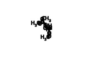 COc1ccc(-c2cncc(C(=O)NN=Cc3cc(OC)cc(OC)c3)n2)cc1